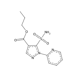 CCCOC(=O)c1cnn(-c2ccccn2)c1S(N)(=O)=O